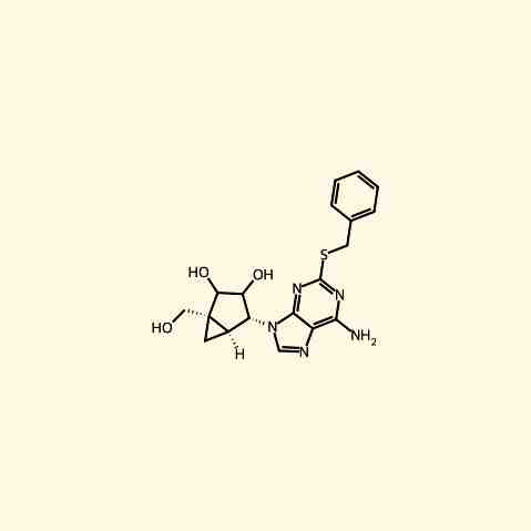 Nc1nc(SCc2ccccc2)nc2c1ncn2[C@H]1C(O)C(O)[C@]2(CO)C[C@H]12